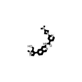 CN(C)C1CN(c2cc(C(=O)Nc3cc4cc(-c5cnn(C)c5CO)ccc4cn3)ccn2)C1